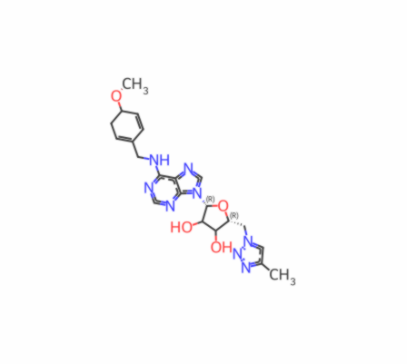 COC1C=CC(CNc2ncnc3c2ncn3[C@@H]2O[C@H](Cn3cc(C)nn3)C(O)C2O)=CC1